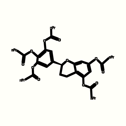 CCCC(=O)Oc1cc(OC(=O)CCC)c2c(c1)O[C@H](c1cc(OC(=O)CCC)c(OC(=O)CCC)c(OC(=O)CCC)c1)CC2